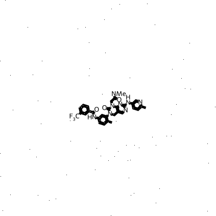 CNC(=O)CN1C(=O)N(c2cc(NC(=O)c3cccc(C(F)(F)F)c3)ccc2C)Cc2cnc(Nc3ccc(C)nc3)nc21